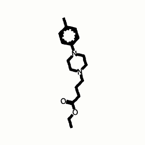 CCOC(=O)CCCN1CCN(c2ccc(C)cc2)CC1